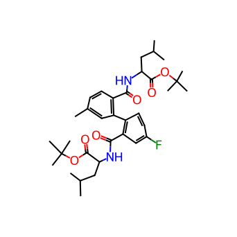 Cc1ccc(C(=O)NC(CC(C)C)C(=O)OC(C)(C)C)c(-c2ccc(F)cc2C(=O)NC(CC(C)C)C(=O)OC(C)(C)C)c1